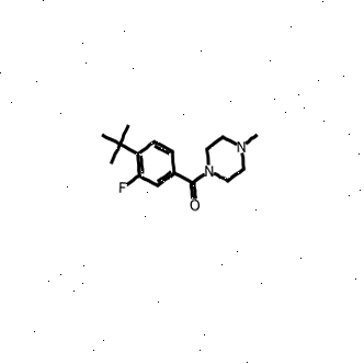 CN1CCN(C(=O)c2ccc(C(C)(C)C)c(F)c2)CC1